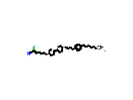 CCCCCCCc1ccc(CCCC[C@H]2CC[C@H]([C@H]3CC[C@H](CCC=CC=C(F)C#N)CC3)CC2)cc1